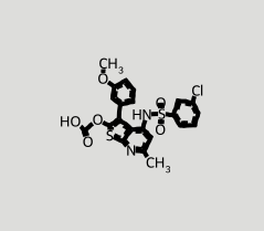 COc1cccc(-c2c(OC(=O)O)sc3nc(C)cc(NS(=O)(=O)c4cccc(Cl)c4)c23)c1